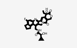 CC[C@@]1(O)C(=O)OCc2c1cc1n(c2=O)Cc2c-1nc1cc(F)c3c(c1c2CNC(=O)[C@@H](O)C1CC1)CCC3